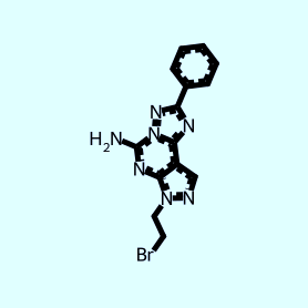 Nc1nc2c(cnn2CCBr)c2nc(-c3ccccc3)nn12